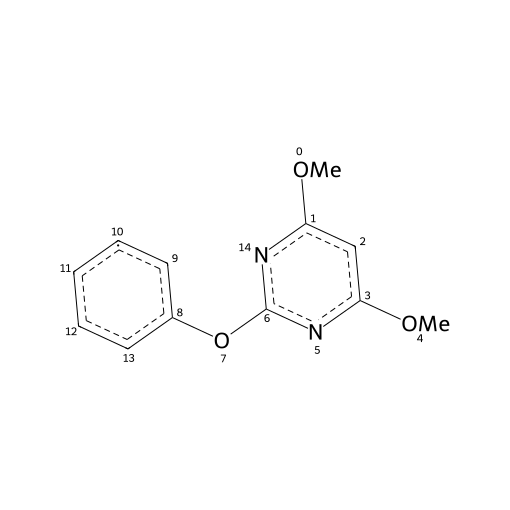 COc1cc(OC)nc(Oc2c[c]ccc2)n1